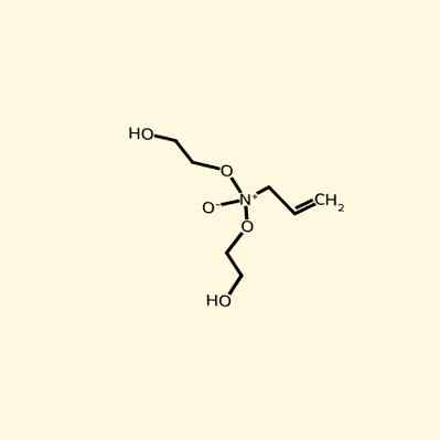 C=CC[N+]([O-])(OCCO)OCCO